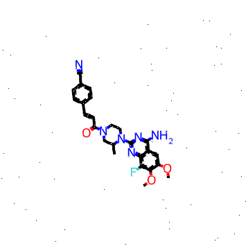 COc1cc2c(N)nc(N3CCN(C(=O)/C=C/c4ccc(C#N)cc4)CC3C)nc2c(F)c1OC